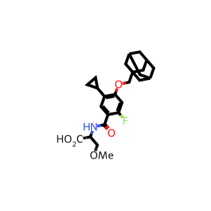 COCC(NC(=O)c1cc(C2CC2)c(OCC23CC4CC(CC(C4)C2)C3)cc1F)C(=O)O